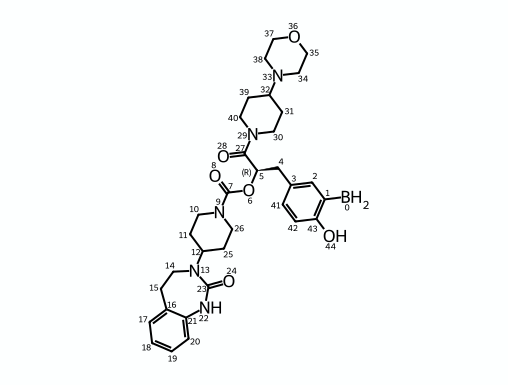 Bc1cc(C[C@@H](OC(=O)N2CCC(N3CCc4ccccc4NC3=O)CC2)C(=O)N2CCC(N3CCOCC3)CC2)ccc1O